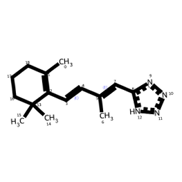 CC1=C(/C=C/C(C)=C/c2nnn[nH]2)C(C)(C)CCC1